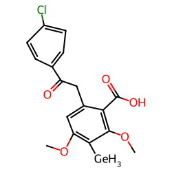 COc1cc(CC(=O)c2ccc(Cl)cc2)c(C(=O)O)c(OC)[c]1[GeH3]